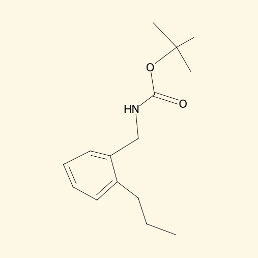 CCCc1ccccc1CNC(=O)OC(C)(C)C